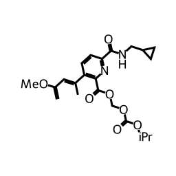 C=C(/C=C(\C)c1ccc(C(=O)NCC2CC2)nc1C(=O)OCOC(=O)OC(C)C)OC